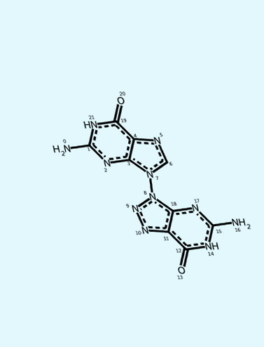 Nc1nc2c(ncn2-n2nnc3c(=O)[nH]c(N)nc32)c(=O)[nH]1